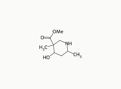 COC(=O)C1(C)CNC(C)CC1O